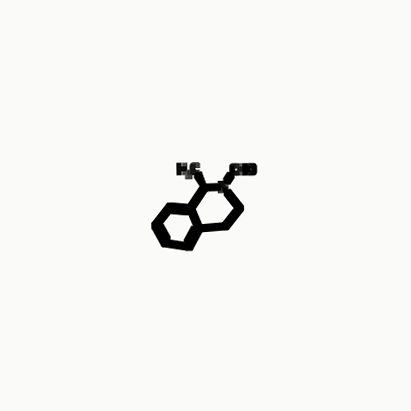 C[C@@H]1c2ccccc2CCN1C=O